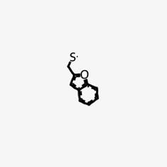 [S]Cc1cc2ccccc2o1